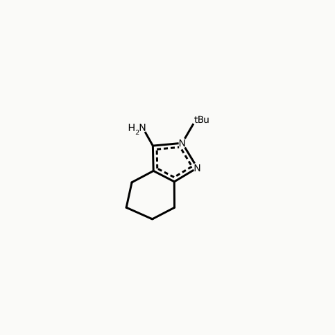 CC(C)(C)n1nc2c(c1N)CCCC2